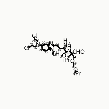 CC(C)C[C@](C=O)(COCCOC(C)C)NC(=O)[C@@H](N)CCc1nc2cc(N(CCCl)CCCl)ccc2n1C